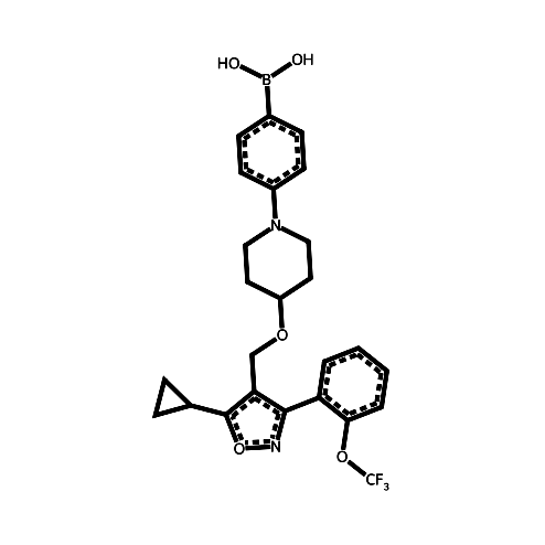 OB(O)c1ccc(N2CCC(OCc3c(-c4ccccc4OC(F)(F)F)noc3C3CC3)CC2)cc1